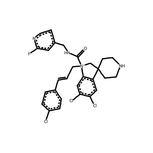 O=C(NCc1ccnc(F)c1)[N+]1(C/C=C/c2ccc(Cl)cc2)CC2(CCNCC2)c2cc(Cl)c(Cl)cc21